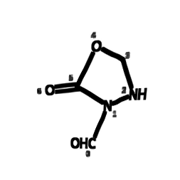 O=CN1NCOC1=O